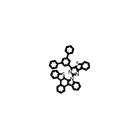 c1ccc(-c2cc(-c3ccccc3)cc(-c3nc(-n4c5c(c6ccccc64)-c4ccccc4C4c6ccccc6SC54)nc4c3sc3ccccc34)c2)cc1